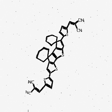 N#CC(C#N)=Cc1ccc(C2=Cc3sc4c(c3C23CCCCC3)C2(CCCCC2)c2cc(-c3ccc(C=C(C#N)C#N)s3)sc2-4)s1